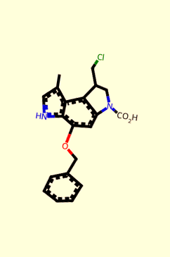 Cc1c[nH]c2c(OCc3ccccc3)cc3c(c12)C(CCl)CN3C(=O)O